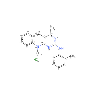 Cc1ccccc1Nc1nc(C)c(C)c(N(C)c2ccccc2)n1.Cl